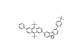 CC(C)(C)c1ccc(-c2ccc3oc4ccc(-c5ccc6c(C(C)(C)C)c7cc(-c8ccccc8)ccc7c(C(C)(C)C)c6c5)cc4c3c2)cc1